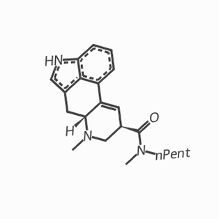 CCCCCN(C)C(=O)[C@@H]1C=C2c3cccc4[nH]cc(c34)C[C@H]2N(C)C1